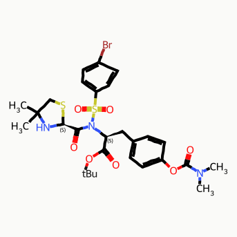 CN(C)C(=O)Oc1ccc(C[C@@H](C(=O)OC(C)(C)C)N(C(=O)[C@H]2NC(C)(C)CS2)S(=O)(=O)c2ccc(Br)cc2)cc1